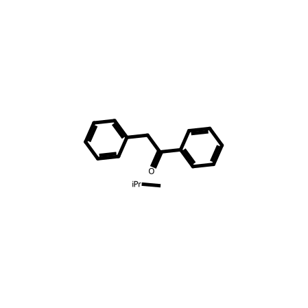 CC(C)C.O=C(Cc1ccccc1)c1ccccc1